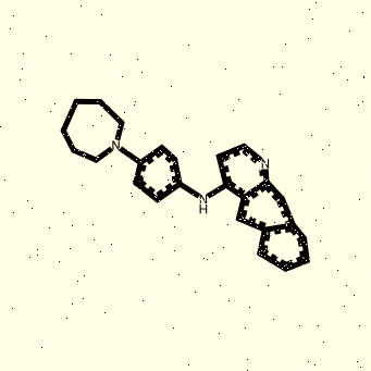 c1ccc2cc3c(Nc4ccc(N5CCCCCC5)cc4)ccnc3cc2c1